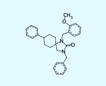 COc1ccccc1CN1C(=O)N(Cc2ccccc2)CC12CCC(c1ccccc1)CC2